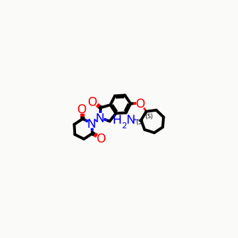 N[C@H]1CCCCC[C@@H]1Oc1ccc2c(c1)CN(N1C(=O)CCCC1=O)C2=O